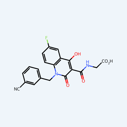 N#Cc1cccc(Cn2c(=O)c(C(=O)NCC(=O)O)c(O)c3cc(F)ccc32)c1